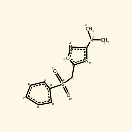 CN(C)c1noc(CS(=O)(=O)c2ccccc2)n1